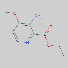 CCOC(=O)c1nccc(OC)c1N